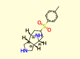 Cc1ccc(S(=O)(=O)C2C[C@@H]3N[C@H](C2)[C@@H]2CNC[C@@H]23)cc1